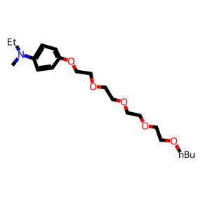 CCCCOCCOCCOCCOCCOc1ccc(N(C)CC)cc1